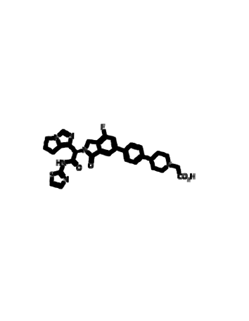 O=C(O)CN1CCC(c2ccc(-c3cc(F)c4c(c3)C(=O)N([C@@H](C(=O)Nc3nccs3)c3ncn5c3CCC5)C4)cc2)CC1